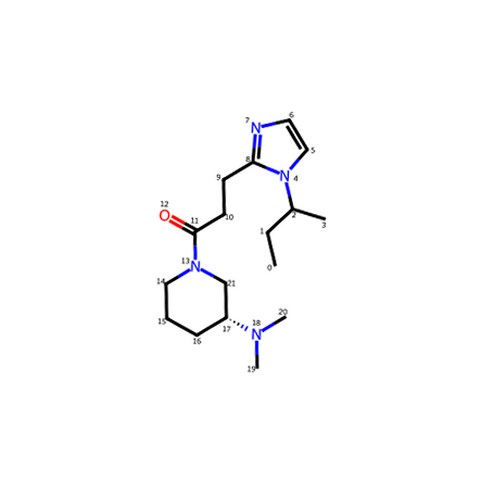 CCC(C)n1ccnc1CCC(=O)N1CCC[C@@H](N(C)C)C1